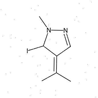 CC(C)=C1C=NN(C)C1I